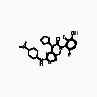 CN(C)C1CCC(Nc2ncc3c(n2)N(C2CCCC2)C(=O)N(c2c(F)ccc(O)c2F)C3)CC1